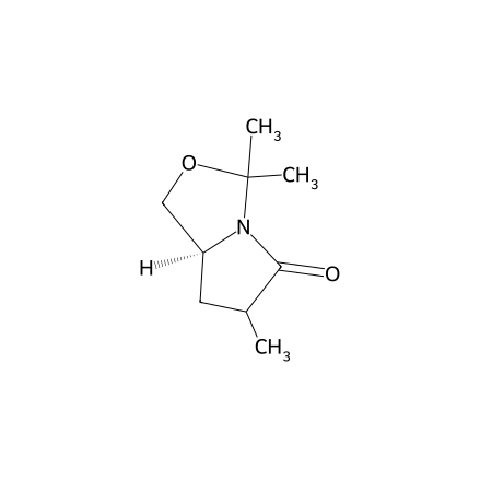 CC1C[C@H]2COC(C)(C)N2C1=O